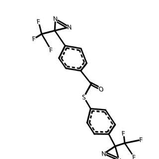 O=C(Sc1ccc(C2(C(F)(F)F)N=N2)cc1)c1ccc(C2(C(F)(F)F)N=N2)cc1